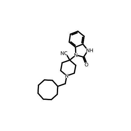 N#CC1(n2c(=O)[nH]c3ccccc32)CCN(CC2CCCCCCC2)CC1